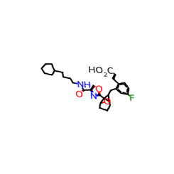 O=C(O)/C=C/c1ccc(F)cc1CC1C2C3CCC(O3)C12c1nc(C(=O)NCCCCC2CCCCC2)co1